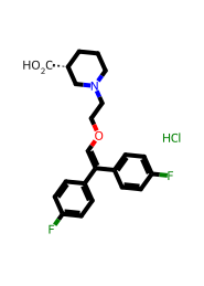 Cl.O=C(O)[C@@H]1CCCN(CCOC=C(c2ccc(F)cc2)c2ccc(F)cc2)C1